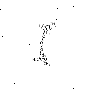 CC(=O)CC(C)(C)SCCOCCOCCOCCSC(C)(C)CC(C)=O